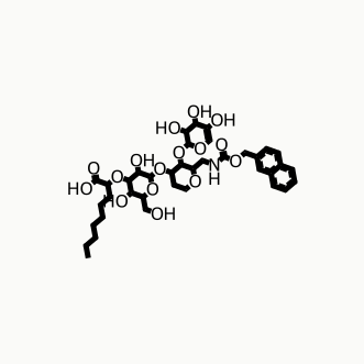 CCCCCCCC(OC1C(O)C(CO)OC(OC2CCOC(CNC(=O)OCc3ccc4ccccc4c3)C2OC2OC=C(O)C(O)C2O)C1O)C(=O)O